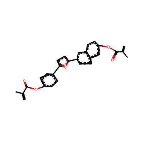 C=C(C)C(=O)Oc1ccc(-c2ccc(-c3ccc4cc(OC(=O)C(=C)C)ccc4c3)o2)cc1